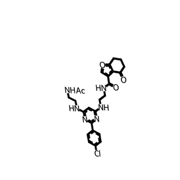 CC(=O)NCCNc1cc(NCCNC(=O)c2coc3c2C(=O)CCC3)nc(-c2ccc(Cl)cc2)n1